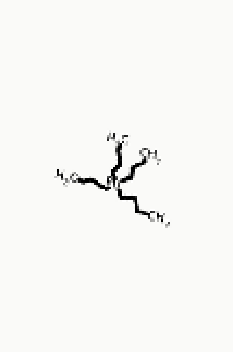 CCC[CH2][Ru]([CH2]CCC)([CH2]CCC)[CH2]CCC